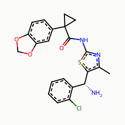 Cc1nc(NC(=O)C2(c3ccc4c(c3)OCO4)CC2)sc1[C@H](N)c1ccccc1Cl